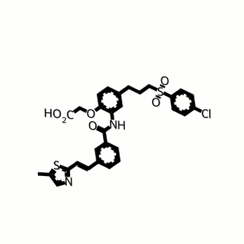 Cc1cnc(C=Cc2cccc(C(=O)Nc3cc(CCCS(=O)(=O)c4ccc(Cl)cc4)ccc3OCC(=O)O)c2)s1